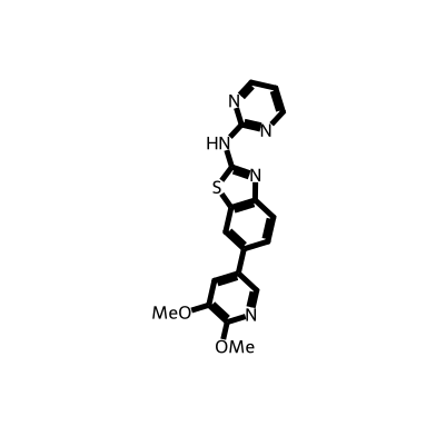 COc1cc(-c2ccc3nc(Nc4ncccn4)sc3c2)cnc1OC